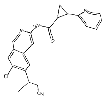 CC(CC#N)c1cc2cc(NC(=O)C3CC3c3ccccn3)ncc2cc1Cl